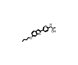 CCCCOc1ccc2cc(-c3ccc(NB(C)O)nc3)sc2c1